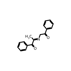 C/C(=N\CC(=O)c1ccccc1)C(=O)c1ccccc1